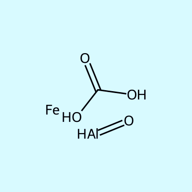 O=C(O)O.[Fe].[O]=[AlH]